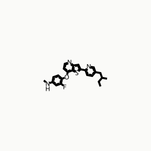 CCC(C)Cc1ccc(-c2cc3nccc(Oc4ccc(NC)cc4F)c3s2)nc1